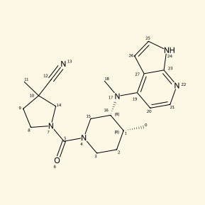 C[C@@H]1CCN(C(=O)N2CCC(C)(C#N)C2)C[C@@H]1N(C)c1ccnc2[nH]ccc12